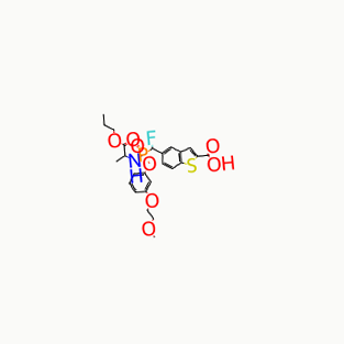 CCCOC(=O)C(C)NP(=O)(Oc1cccc(OCCOC)c1)C(F)c1ccc2sc(C(=O)O)cc2c1